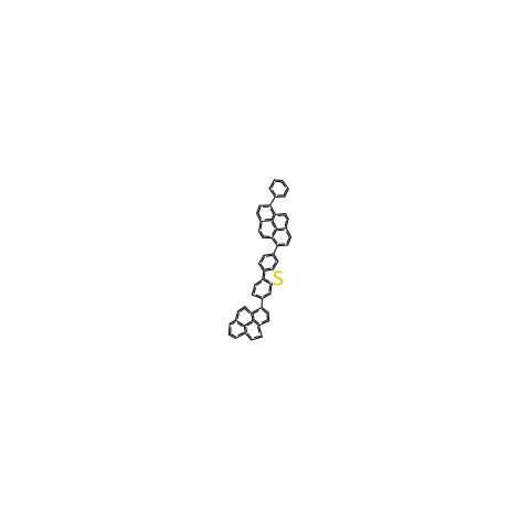 c1ccc(-c2ccc3ccc4c(-c5ccc6c(c5)sc5cc(-c7ccc8ccc9cccc%10ccc7c8c9%10)ccc56)ccc5ccc2c3c54)cc1